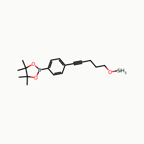 CC1(C)OB(c2ccc(C#CCCCO[SiH3])cc2)OC1(C)C